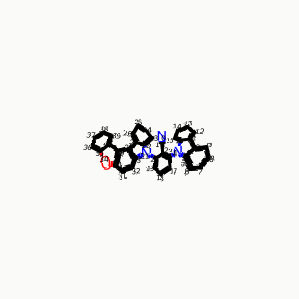 N#Cc1c(-n2c3ccccc3c3ccccc32)cccc1-n1c2ccccc2c2c3c(ccc21)oc1ccccc13